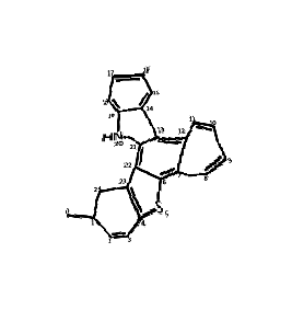 CC1C=Cc2sc3c4ccccc4c4c5ccccc5[nH]c4c3c2C1